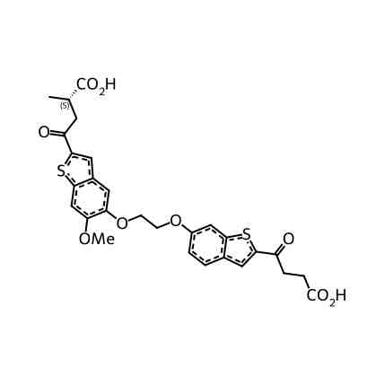 COc1cc2sc(C(=O)C[C@H](C)C(=O)O)cc2cc1OCCOc1ccc2cc(C(=O)CCC(=O)O)sc2c1